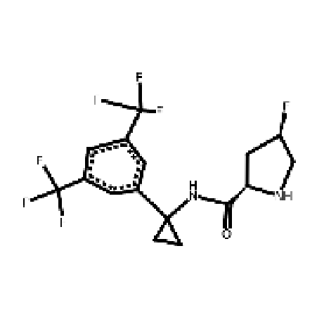 O=C(NC1(c2cc(C(F)(F)F)cc(C(F)(F)F)c2)CC1)[C@H]1C[C@@H](F)CN1